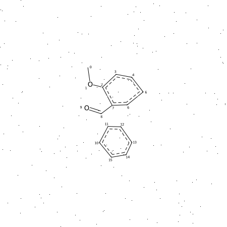 COc1ccccc1C=O.c1ccccc1